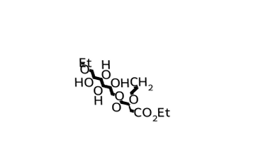 C=CCO[C@@H](CC(=O)OCC)C(=O)OC[C@@H](O)[C@@H](O)[C@@H](O)[C@H](O)COCC